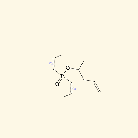 C=CCC(C)OP(=O)(/C=C\C)/C=C\C